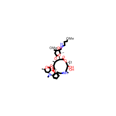 CC[C@H]1OC(=O)[C@H](C)[C@@H](O[C@H]2C[C@@](C)(OC)[C@](O)(CNCCCOC)[C@H](C)O2)[C@H](C)[C@@H](O[C@@H]2O[C@H](C)C[C@H](N(C)C)[C@H]2Oc2ccccc2)[C@](C)(O)C[C@@H](C)CN[C@H](C)[C@@H](O)[C@]1(C)O